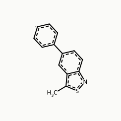 Cc1snc2ccc(-c3cc[c]cc3)cc12